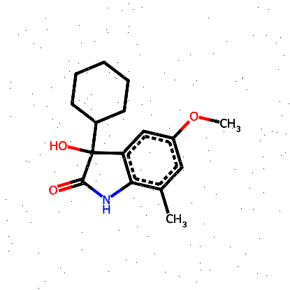 COc1cc(C)c2c(c1)C(O)(C1CCCCC1)C(=O)N2